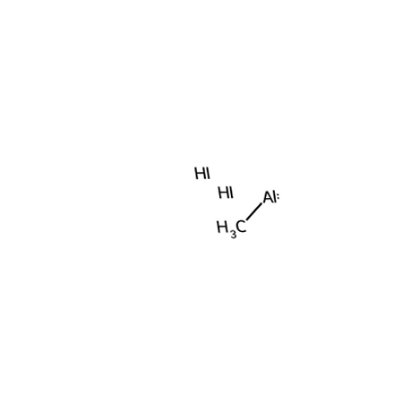 I.I.[CH3][Al]